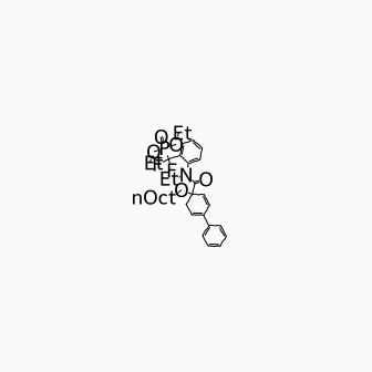 CCCCCCCCOC1(C(=O)N(CC)c2ccccc2C(F)(F)P(=O)(OCC)OCC)C=CC(c2ccccc2)=CC1